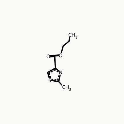 CCCOC(=O)c1csc(C)n1